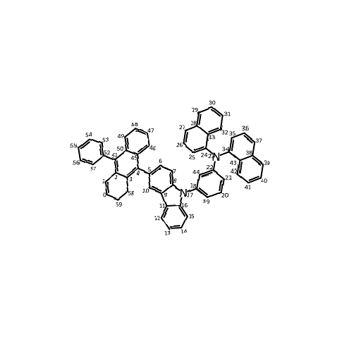 C1=Cc2c(c(-c3ccc4c(c3)c3ccccc3n4-c3cccc(N(c4cccc5ccccc45)c4cccc5ccccc45)c3)c3ccccc3c2-c2ccccc2)CC1